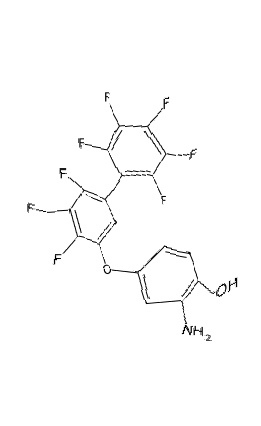 Nc1cc(Oc2cc(-c3c(F)c(F)c(F)c(F)c3F)c(F)c(F)c2F)ccc1O